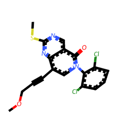 COCC#Cc1cn(-c2c(Cl)cccc2Cl)c(=O)c2cnc(SC)nc12